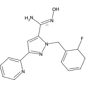 N/C(=N\O)c1cc(-c2ccccn2)nn1CC1=CC=CCC1F